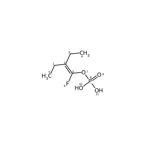 CCC(CC)=C(F)OP(=O)(O)O